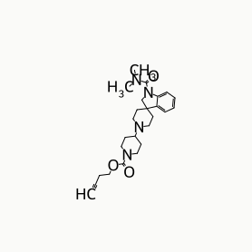 C#CCCOC(=O)N1CCC(N2CCC3(CC2)CN(C(=O)N(C)C)c2ccccc23)CC1